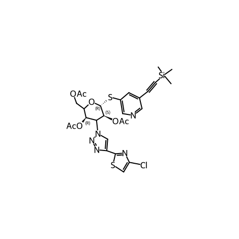 CC(=O)OCC1O[C@H](Sc2cncc(C#C[Si](C)(C)C)c2)[C@@H](OC(C)=O)C(n2cc(-c3nc(Cl)cs3)nn2)[C@H]1OC(C)=O